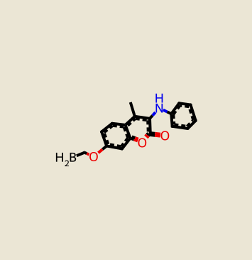 BCOc1ccc2c(C)c(Nc3ccccc3)c(=O)oc2c1